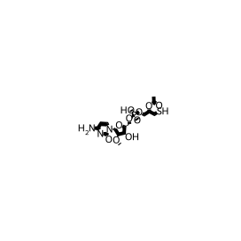 CO[C@@H]1[C@H](O)[C@@H](COP(=O)(O)OCC(CS)OC(C)=O)O[C@H]1n1ccc(N)nc1=O